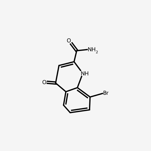 NC(=O)c1cc(=O)c2cccc(Br)c2[nH]1